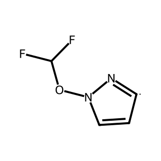 FC(F)On1cc[c]n1